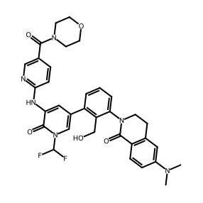 CN(C)c1ccc2c(c1)CCN(c1cccc(-c3cc(Nc4ccc(C(=O)N5CCOCC5)cn4)c(=O)n(C(F)F)c3)c1CO)C2=O